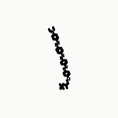 CCN(CC)c1ccc(/N=N/c2ccc(/N=N/c3ccc(/N=N/c4ccc(OCCC(C)CC(C)(C)C)cc4)cc3)cc2)cc1